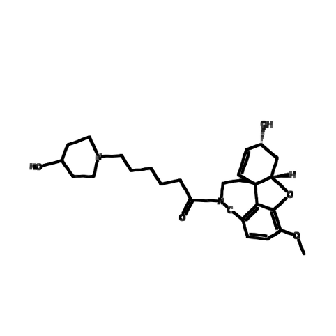 COc1ccc2c3c1O[C@H]1C[C@@H](O)C=C[C@@]31CCN(C(=O)CCCCCN1CCC(O)CC1)C2